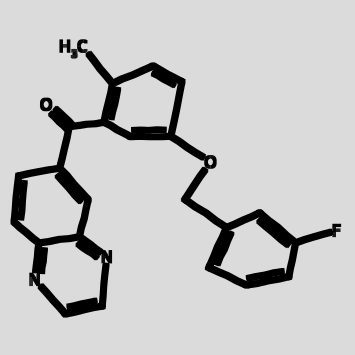 Cc1ccc(OCc2cccc(F)c2)cc1C(=O)c1ccc2nccnc2c1